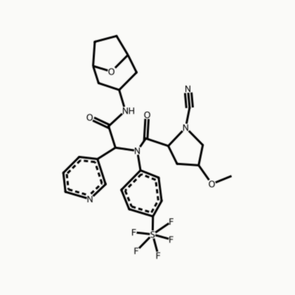 COC1CC(C(=O)N(c2ccc(S(F)(F)(F)(F)F)cc2)C(C(=O)NC2CC3CCC(C2)O3)c2cccnc2)N(C#N)C1